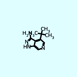 CC(C)(C)c1cncc2[nH]nc(N)c12